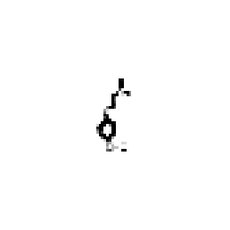 CN(C)CCSc1ccc(C=O)cc1